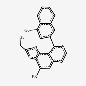 CC(C)(C)Cc1nc2c(s1)c(C(F)(F)F)cc1ccnc(-c3cc(C(C)(C)C)c4ccccc4c3)c12